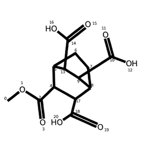 COC(=O)C1C2CCC(C(C(=O)O)C2C(=O)O)C1C(=O)O